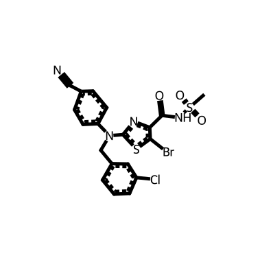 CS(=O)(=O)NC(=O)c1nc(N(Cc2cccc(Cl)c2)c2ccc(C#N)cc2)sc1Br